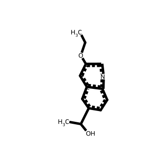 CCOc1cnc2ccc(C(C)O)cc2c1